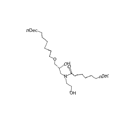 CCCCCCCCCCCCCCCCOCC(O)CN(CCO)C(=O)CCCCCCCCCCCCCCC